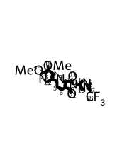 COc1cc(-c2ccc3c(n2)C(=O)N(c2cnn(CC(F)(F)F)c2)C3=O)cnc1OC